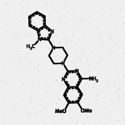 COc1cc2nc(N3CCN(c4nc5ccccc5n4C)CC3)nc(N)c2cc1OC